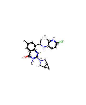 Cc1cc(C(C)Nc2ccc(Cl)nc2C(F)(F)F)c2nc(N3CC4CC4C3)n(C)c(=O)c2c1